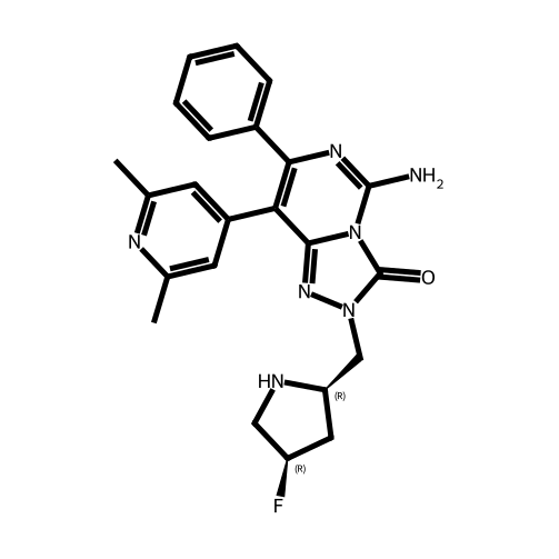 Cc1cc(-c2c(-c3ccccc3)nc(N)n3c(=O)n(C[C@H]4C[C@@H](F)CN4)nc23)cc(C)n1